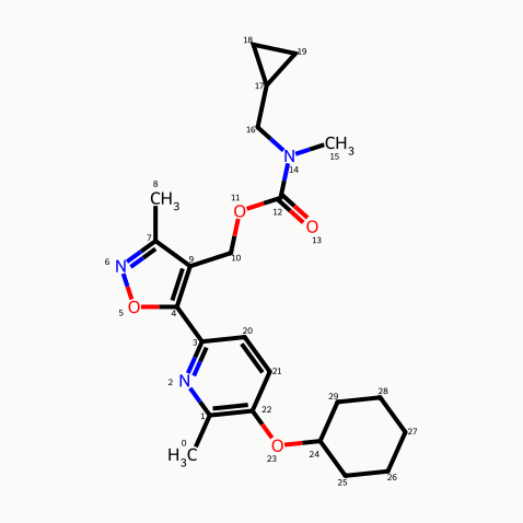 Cc1nc(-c2onc(C)c2COC(=O)N(C)CC2CC2)ccc1OC1CCCCC1